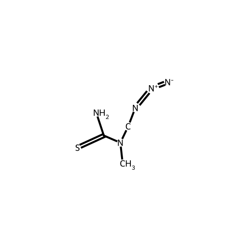 CN(CN=[N+]=[N-])C(N)=S